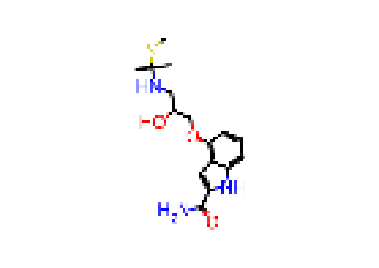 CSC(C)(C)NCC(O)COc1cccc2[nH]c(C(N)=O)cc12